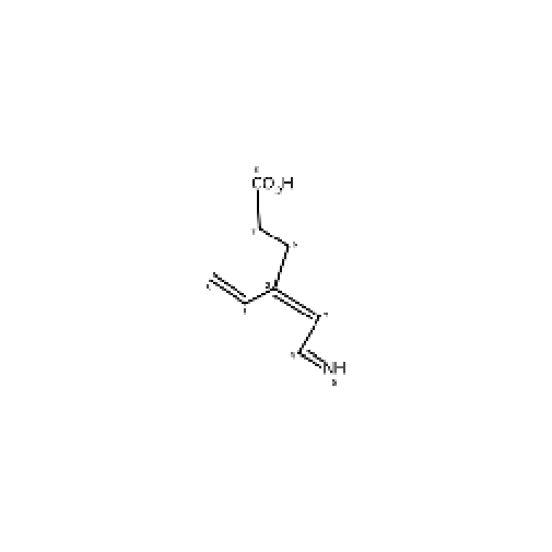 C=C/C(=C\C=N)CCC(=O)O